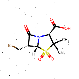 CC1(C)[C@H](C(=O)O)N2C(=O)[C@@H](CBr)[C@H]2S1(=O)=O